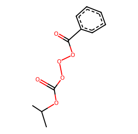 CC(C)OC(=O)OOOC(=O)c1ccccc1